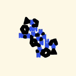 c1cc(Nc2cccn2C2CC2)c2c(c1)ncn2-c1nc2ncnc3nc(-n4cnc5cccc(Nc6cccn6C6CC6)c54)c4ccc1c4n23